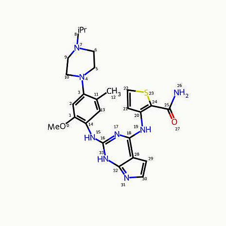 COc1cc(N2CCN(C(C)C)CC2)c(C)cc1Nc1nc(Nc2ccsc2C(N)=O)c2ccnc-2[nH]1